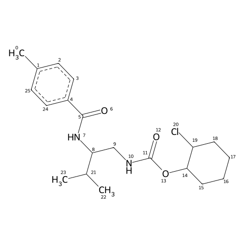 Cc1ccc(C(=O)NC(CNC(=O)OC2CCCCC2Cl)C(C)C)cc1